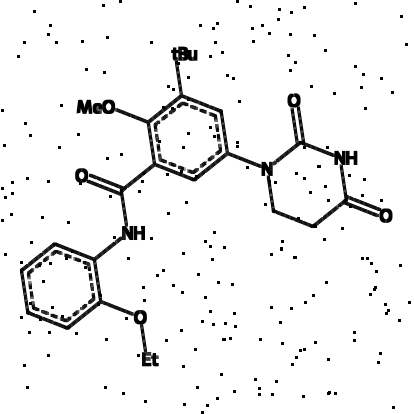 CCOc1ccccc1NC(=O)c1cc(N2CCC(=O)NC2=O)cc(C(C)(C)C)c1OC